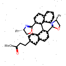 COC(=O)CCc1ccc2c(-c3c(C4=N[C@@H](C(C)C)CO4)ccc4ccccc34)c(C3=N[C@@H](C(C)C)CO3)ccc2c1